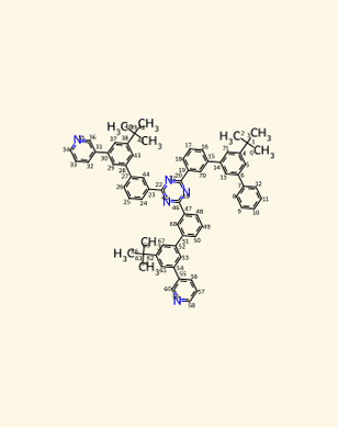 CC(C)(C)c1cc(-c2ccccc2)cc(-c2cccc(-c3nc(-c4cccc(-c5cc(-c6cccnc6)cc(C(C)(C)C)c5)c4)nc(-c4cccc(-c5cc(-c6cccnc6)cc(C(C)(C)C)c5)c4)n3)c2)c1